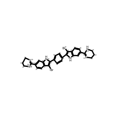 Brc1c(-c2ccc(-c3[nH]c4cc(C5=NCCCN5)ccc4c3Br)cc2)[nH]c2cc(C3=NCCCN3)ccc12